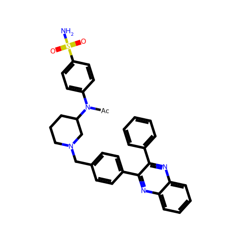 CC(=O)N(c1ccc(S(N)(=O)=O)cc1)C1CCCN(Cc2ccc(-c3nc4ccccc4nc3-c3ccccc3)cc2)C1